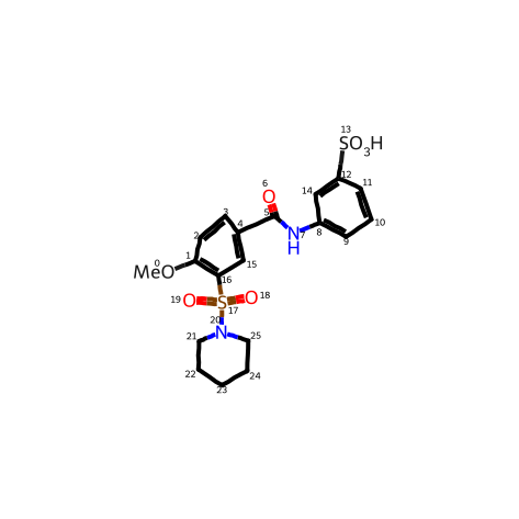 COc1ccc(C(=O)Nc2cccc(S(=O)(=O)O)c2)cc1S(=O)(=O)N1CCCCC1